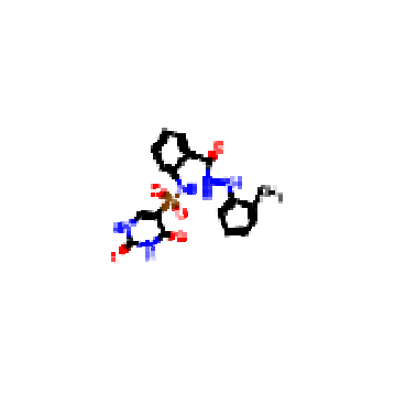 Cc1ccccc1NNC(=O)c1ccccc1NS(=O)(=O)c1c[nH]c(=O)[nH]c1=O